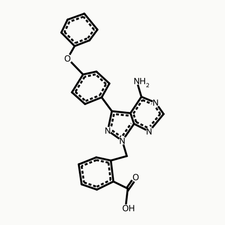 Nc1ncnc2c1c(-c1ccc(Oc3ccccc3)cc1)nn2Cc1ccccc1C(=O)O